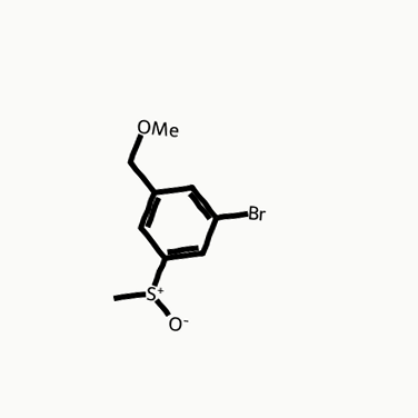 COCc1cc(Br)cc([S+](C)[O-])c1